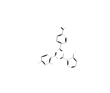 COC(=O)c1ccc(-c2nc(-c3ccc(OC)cc3O)nc(-c3ccccc3OC)n2)cc1